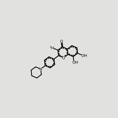 [2H]c1c(-c2ccc(N3CCCCC3)cc2)oc2c(O)c(O)ccc2c1=O